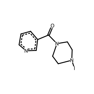 O=C(c1cccnc1)N1CCN(I)CC1